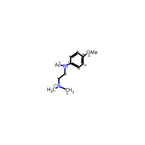 [CH2]C(=O)N(CCN(C)C)c1ccc(OC)cc1